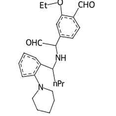 CCCC(NC(C=O)c1ccc(C=O)c(OCC)c1)c1ccccc1N1CCCCC1